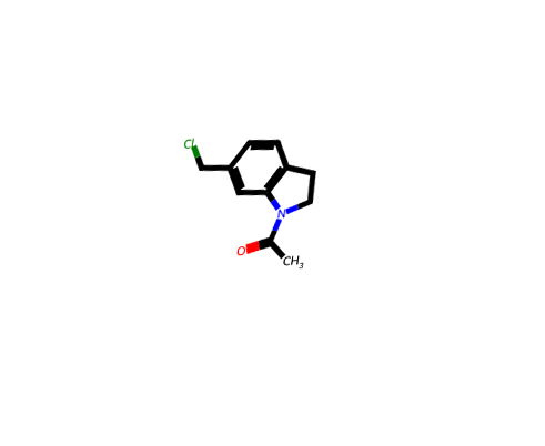 CC(=O)N1CCc2ccc(CCl)cc21